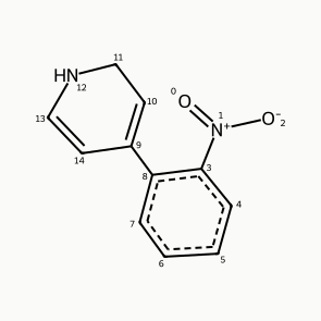 O=[N+]([O-])c1ccccc1C1=CCNC=C1